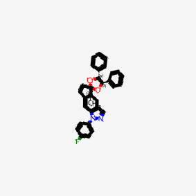 C[C@]12Cc3cnn(-c4ccc(F)cc4)c3C=C1CCC21O[C@H](c2ccccc2)[C@@H](c2ccccc2)O1